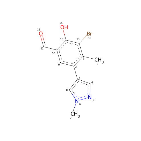 Cc1c(-c2cnn(C)c2)cc(C=O)c(O)c1Br